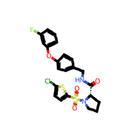 O=C(NCc1ccc(Oc2cccc(F)c2)cc1)[C@@H]1CCCN1S(=O)(=O)c1ccc(Cl)s1